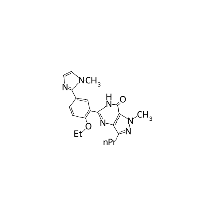 CCCc1nn(C)c2c(=O)[nH]c(-c3cc(-c4nccn4C)ccc3OCC)nc12